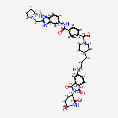 C[C@H]1CCCN1Cc1nc2cc(NC(=O)c3ccc(C(=O)N4CCC(CCCNc5ccc6c(c5)C(=O)N(C5CCC(=O)NC5=O)C6=O)CC4)cc3)ccc2[nH]1